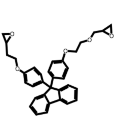 c1ccc2c(c1)-c1ccccc1C2(c1ccc(OCCOCC2CO2)cc1)c1ccc(OCCC2CO2)cc1